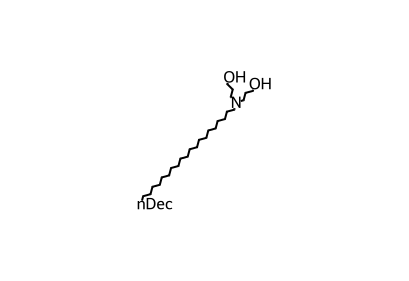 CCCCCCCCCCCCCCCCCCCCCCCCCCCCCCN(CCCO)CCCO